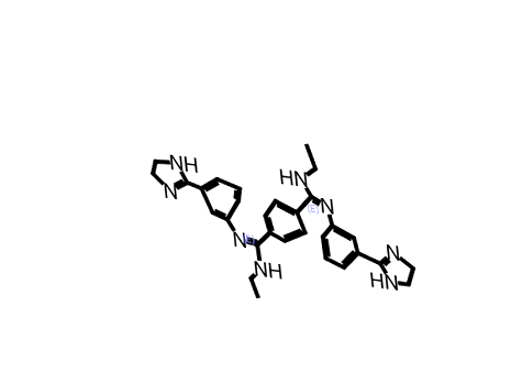 CCN/C(=N/c1cccc(C2=NCCN2)c1)c1ccc(/C(=N\c2cccc(C3=NCCN3)c2)NCC)cc1